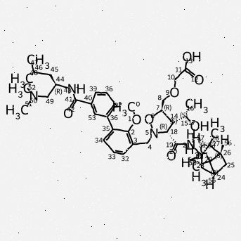 COc1c(CN2O[C@@H](COCC(=O)O)[C@H]([C@H](C)O)[C@@H]2C(=O)N[C@H]2C[C@H]3C[C@@H]([C@@H]2C)C3(C)C)cccc1-c1cccc(C(=O)N[C@H](CC(C)C)CN(C)C)c1